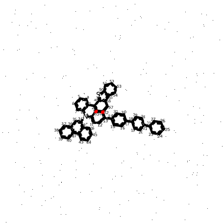 C1=C=C(c2ccccc2N(C2=CC=C(c3ccc(-c4ccc(-c5ccccc5)cc4)cc3)CC2)c2cc3ccccc3c3ccccc23)c2sc3ccccc3c2C=1